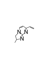 C=CC1=NC2=NC(C)CN2C=C1